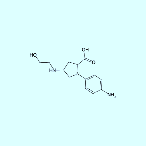 Nc1ccc(N2CC(NCCO)CC2C(=O)O)cc1